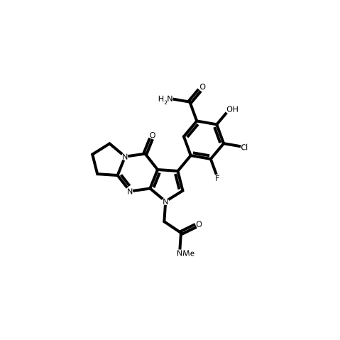 CNC(=O)Cn1cc(-c2cc(C(N)=O)c(O)c(Cl)c2F)c2c(=O)n3c(nc21)CCC3